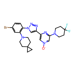 [O-][n+]1cc(-c2cn(-c3ccc(Br)cc3N3CCC4(CC3)CC4)nn2)nc(N2CCC(F)(F)CC2)c1